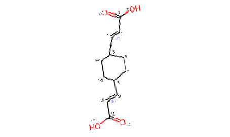 O=C(O)/C=C/C1CCC(/C=C/C(=O)O)CC1